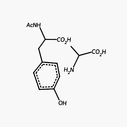 CC(=O)NC(Cc1ccc(O)cc1)C(=O)O.CC(N)C(=O)O